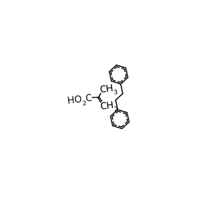 C=C(C)C(=O)O.c1ccc(CCc2ccccc2)cc1